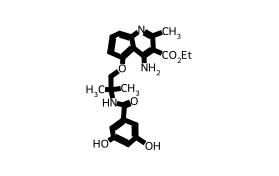 CCOC(=O)c1c(C)nc2cccc(OCC(C)(C)NC(=O)c3cc(O)cc(O)c3)c2c1N